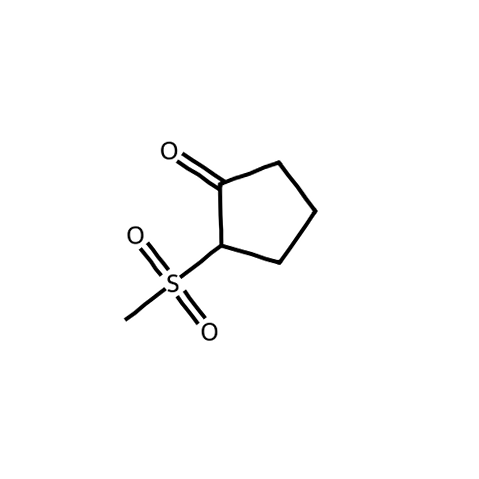 CS(=O)(=O)C1CCCC1=O